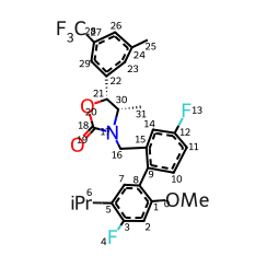 COc1cc(F)c(C(C)C)cc1-c1ccc(F)cc1CN1C(=O)O[C@H](c2cc(C)cc(C(F)(F)F)c2)[C@@H]1C